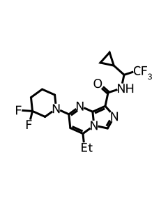 CCc1cc(N2CCCC(F)(F)C2)nc2c(C(=O)NC(C3CC3)C(F)(F)F)ncn12